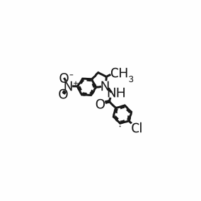 CC1Cc2cc([N+](=O)[O-])ccc2N1NC(=O)c1c[c]c(Cl)cc1